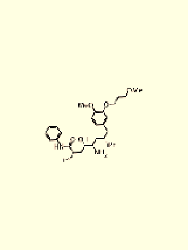 COCCCOc1cc(C[C@@H](C[C@H](N)[C@@H](O)C[C@H](C(=O)Nc2ccccc2)C(C)C)C(C)C)ccc1OC